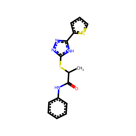 CC(Sc1nnc(-c2cccs2)[nH]1)C(=O)Nc1ccccc1